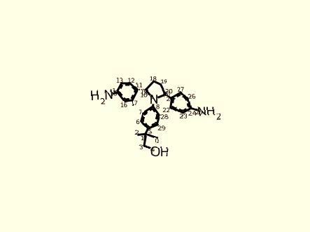 CC(C)(CO)c1ccc(N2[C@H](c3ccc(N)cc3)CC[C@H]2c2ccc(N)cc2)cc1